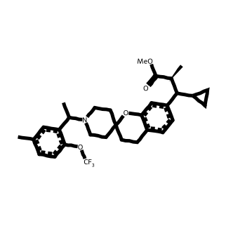 COC(=O)[C@@H](C)C(c1ccc2c(c1)OC1(CC2)CCN(C(C)c2cc(C)ccc2OC(F)(F)F)CC1)C1CC1